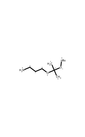 CCCCOC(C)(C)OCCCN